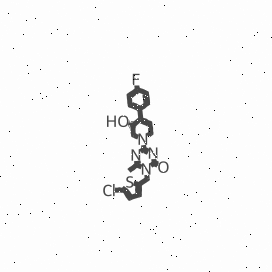 Cc1nc(N2CC=C(c3ccc(F)cc3)[C@H](O)C2)nc(=O)n1Cc1ccc(Cl)s1